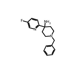 NC1(c2ccc(F)cn2)CCN(Cc2ccccc2)CC1